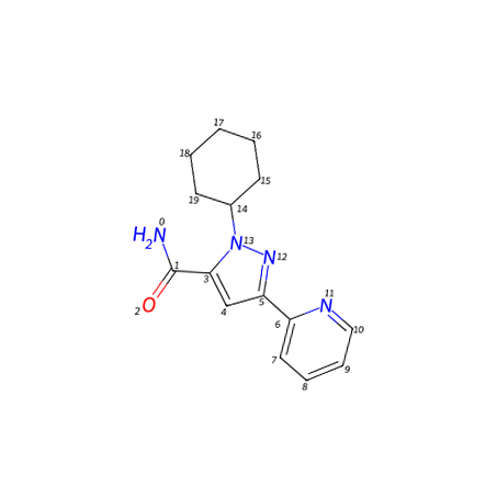 NC(=O)c1cc(-c2ccccn2)nn1C1CCCCC1